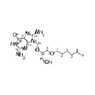 CCCCCCOCC(CO)OCn1c(N)nc2c(=O)[nH]c(N)nc21